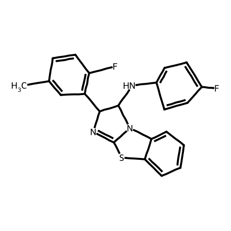 Cc1ccc(F)c(C2N=C3Sc4ccccc4N3C2Nc2ccc(F)cc2)c1